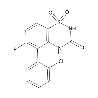 O=C1Nc2c(ccc(F)c2-c2ccccc2Cl)S(=O)(=O)N1